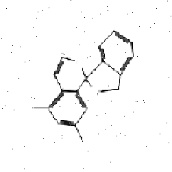 Cc1cc(C)c2c(c1)C1(NCc3ccccc31)OC=C2